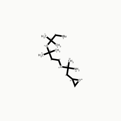 CC(C)(C)CC(C)(C)OC(C)(C)CCOC(C)(N)CC1CO1